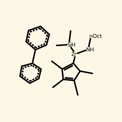 CCCCCCCC[NH][Zr]([C]1=C(C)C(C)=C(C)C1C)[SiH](C)C.c1ccc(-c2ccccc2)cc1